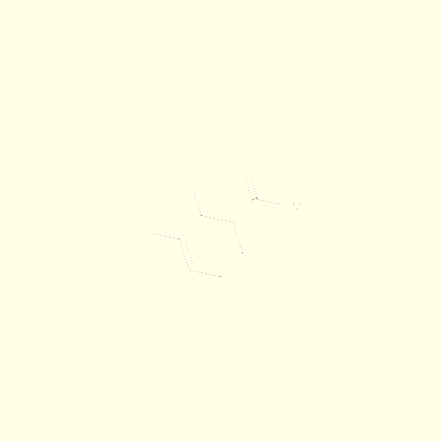 COC(=O)C1CCC=C(C)C1I